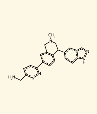 CN1Cc2cc(-c3ccc(CN)nn3)ccc2C(c2ccc3[nH]ncc3c2)C1